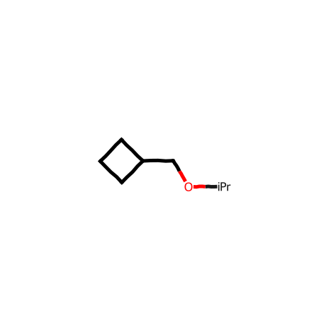 CC(C)OCC1CCC1